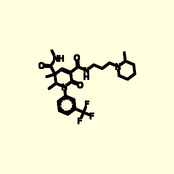 CNC(=O)C1(C)C=C(C(=O)NCCCN2CCCCC2C)C(=O)N(c2cccc(C(F)(F)F)c2)C1C